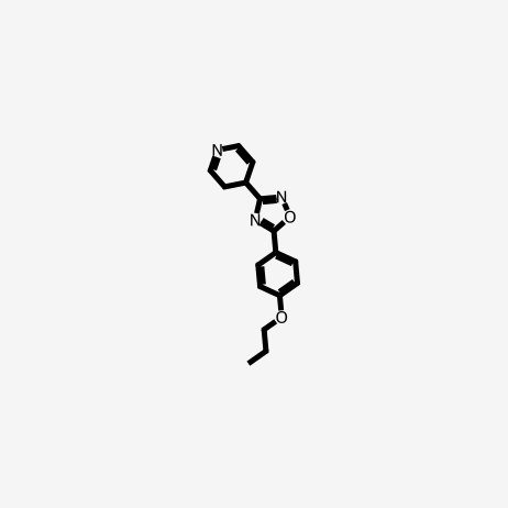 CCCOc1ccc(-c2nc(C3C=CN=CC3)no2)cc1